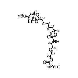 CCCCC(CC)CC(C)(CC)OC(=O)CCCCCC(C)(C)OC(=O)NCCOCCOC(=O)C(C)CCC